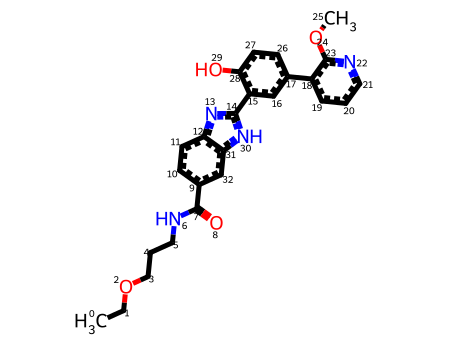 CCOCCCNC(=O)c1ccc2nc(-c3cc(-c4cccnc4OC)ccc3O)[nH]c2c1